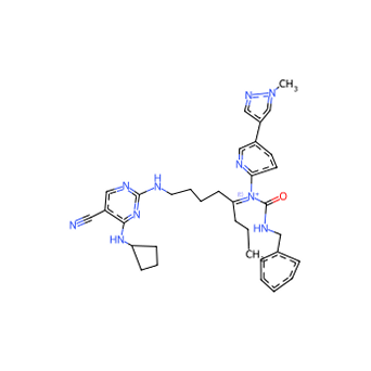 CCC/C(CCCCNc1ncc(C#N)c(NC2CCC2)n1)=[N+](\C(=O)NCc1ccccc1)c1ccc(-c2cnn(C)c2)cn1